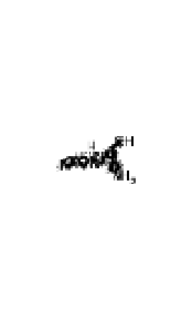 CN1CCN(Cc2cccc(Nc3nccc(-c4cn(CCO)nc4-c4ccc(N)cc4)n3)c2)CC1